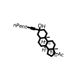 CCCCCC#CC1(O)CC[C@@]2(C)C(CC[C@H]3[C@@H]4CC[C@H](C(C)=O)[C@@]4(C)CC[C@@H]32)C1